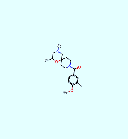 CCC1CN(CC)CC2(CCN(C(=O)c3ccc(OC(C)C)c(C)c3)CC2)O1